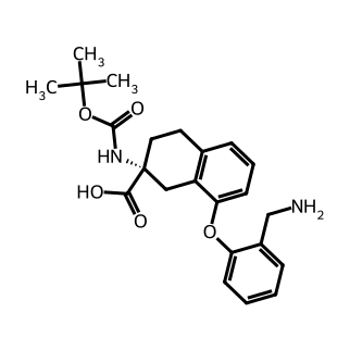 CC(C)(C)OC(=O)N[C@]1(C(=O)O)CCc2cccc(Oc3ccccc3CN)c2C1